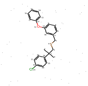 CC(C)(CSCc1cccc(Oc2ccccc2)c1)c1ccc(Cl)cc1